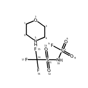 C1COCCN1.O=S(=O)(F)NS(=O)(=O)C(F)(F)F